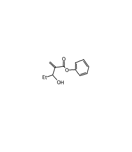 C=C(C(=O)Oc1ccccc1)C(O)CC